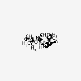 CC(=O)N1C[C@H](Oc2nn(C)cc2Nc2ncc3cc(C#N)n([C@H]4COC[C@@H]4C)c3n2)C1(C)C